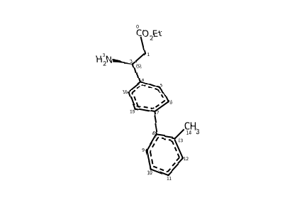 CCOC(=O)C[C@H](N)c1ccc(-c2ccccc2C)cc1